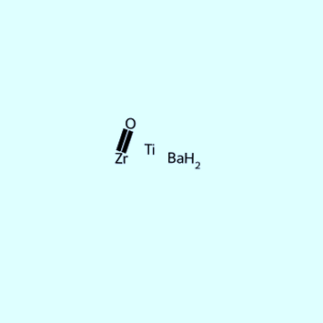 [BaH2].[O]=[Zr].[Ti]